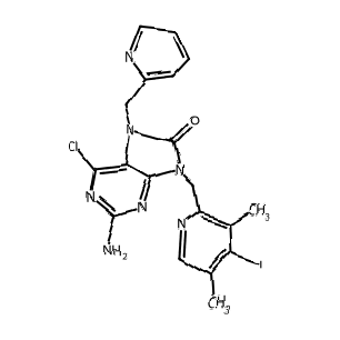 Cc1cnc(Cn2c(=O)n(Cc3ccccn3)c3c(Cl)nc(N)nc32)c(C)c1I